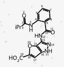 CC(C)C(=O)Nc1ccccc1C(=O)Nc1n[nH]c2cc(C(=O)O)oc12